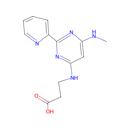 CNc1cc(NCCC(=O)O)nc(-c2ccccn2)n1